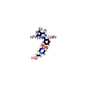 CCCOc1ccc(S(=O)(=O)N2CCN(CCO)CC2)cc1-c1nc(=O)c2c([nH]1)C(CCC)=NC2CC